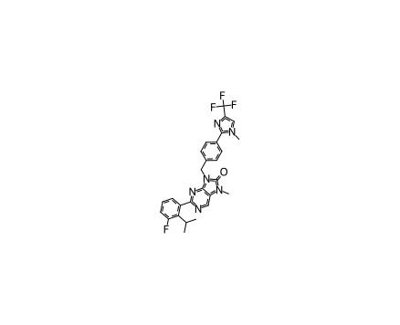 CC(C)c1c(F)cccc1-c1ncc2c(n1)n(Cc1ccc(-c3nc(C(F)(F)F)cn3C)cc1)c(=O)n2C